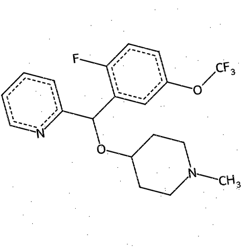 CN1CCC(OC(c2ccccn2)c2cc(OC(F)(F)F)ccc2F)CC1